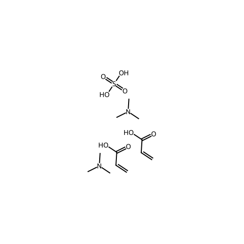 C=CC(=O)O.C=CC(=O)O.CN(C)C.CN(C)C.O=S(=O)(O)O